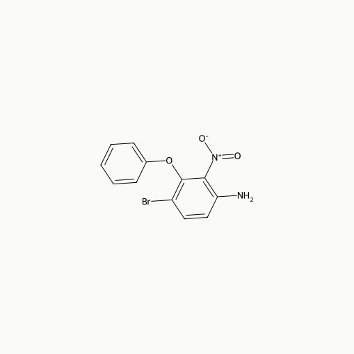 Nc1ccc(Br)c(Oc2ccccc2)c1[N+](=O)[O-]